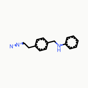 [N-]=[N+]=CCc1ccc(CNc2ccccc2)cc1